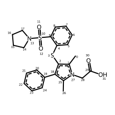 Cc1c(Sc2ccccc2S(=O)(=O)N2CCCC2)c(-c2ccccc2)c(C)n1CC(=O)O